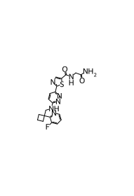 NC(=O)CNC(=O)c1cnc(-c2ccc(NCC3(c4ncccc4F)CCC3)nn2)s1